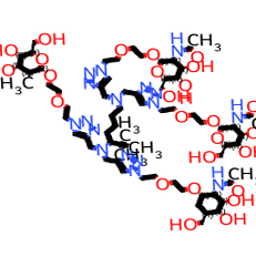 CC(=O)N[C@@H]1[C@@H](O)[C@@H](O)[C@@H](CO)C[C@H]1OCCOCCn1cc(CN(Cc2cn(CCOCCO[C@@H]3O[C@H](CO)[C@H](O)[C@H](O)[C@H]3C)nn2)C(CCCCN(Cc2cn(CCOCCO[C@@H]3O[C@H](CO)[C@H](O)[C@H](O)[C@H]3NC(C)=O)nn2)Cc2cn(CCOCCO[C@@H]3O[C@H](CO)[C@H](O)[C@H](O)[C@H]3NC(C)=O)nn2)C(C)(C)C)nn1